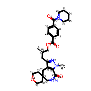 CCn1nc(C[C@@H](C)COC(=O)c2ccc(C(=O)N3CCCCC3)cc2)c2c1C(=O)NCC1(CCOCC1)C2